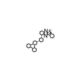 c1cc(-c2ccc3c4ccccc4c4ccccc4c3c2)cc(-c2cccc3nc4sc5ccccc5c4nc23)c1